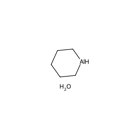 C1C[CH2][AlH][CH2]C1.O